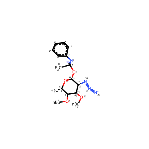 CCCCOC1[C@H](C)O[C@@H](O/C(=N/c2ccccc2)C(F)(F)F)[C@@H](N=[N+]=[N-])[C@H]1OCCCC